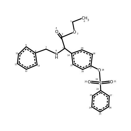 CCOC(=O)C(NCc1ccccc1)c1ccc(OS(=O)(=O)c2ccccc2)cc1